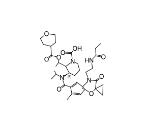 CCC(=O)NCCN1C(=O)C2(CC2)Oc2cc(C)c(C(=O)N(C(C)C)[C@@H]3CCCN(C(=O)O)C3C(C)OC(=O)C3CCOCC3)cc21